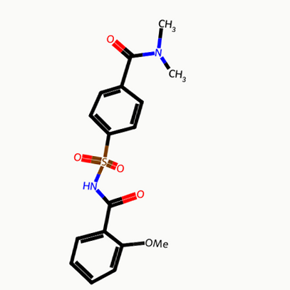 COc1ccccc1C(=O)NS(=O)(=O)c1ccc(C(=O)N(C)C)cc1